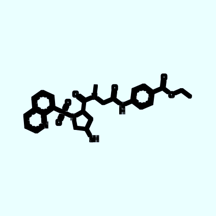 CCOC(=O)c1ccc(NC(=O)CN(C)C(=O)C2CC(S)CN2S(=O)(=O)c2cccc3cccnc23)cc1